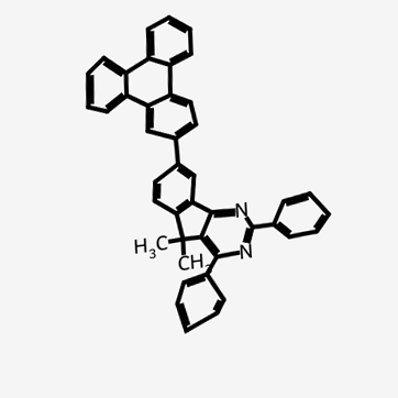 CC1(C)c2ccc(-c3ccc4c5ccccc5c5ccccc5c4c3)cc2-c2nc(-c3ccccc3)nc(-c3ccccc3)c21